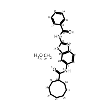 O=C(Nc1ccc2nc(NC(=O)c3ccccc3)sc2c1)[C]1CCCCCCC1.[CH2].[CH2]